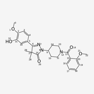 COc1ccc(C2=NN(C3CCN(C(=O)c4ccccc4OC)CC3)C(=O)C2(C)C)cc1O